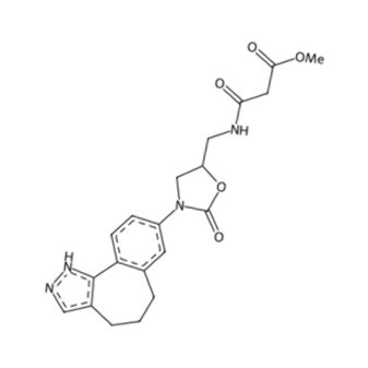 COC(=O)CC(=O)NCC1CN(c2ccc3c(c2)CCCc2cn[nH]c2-3)C(=O)O1